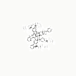 CC(C)(C)c1ccc(Nc2cc3c(cc2-c2c4c5c(c6cc7c(cc6n5-c5cc6oc(-c8ccccc8)nc6cc5B4)C(C)(C)CCC7(C)C)c4oc5ccccc5c24)-c2ccccc2C3(C)C)cc1